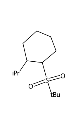 CC(C)C1CCCCC1S(=O)(=O)C(C)(C)C